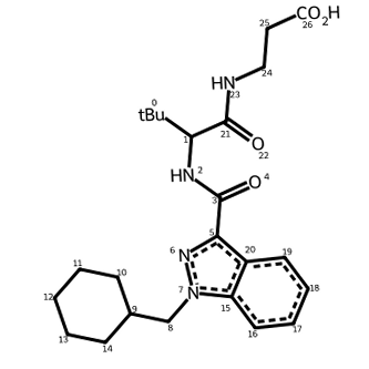 CC(C)(C)C(NC(=O)c1nn(CC2CCCCC2)c2ccccc12)C(=O)NCCC(=O)O